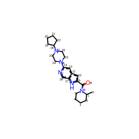 CC1CCCCN1C(=O)c1cc2cc(N3CCN(C4CCCC4)CC3)ncc2[nH]1